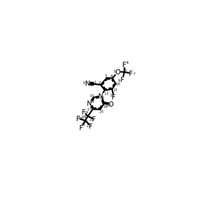 N#Cc1cc(OC(F)(F)F)cc(F)c1-n1cnc(C(F)(F)C(F)(F)F)cc1=O